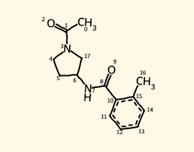 CC(=O)N1CCC(NC(=O)c2ccccc2C)C1